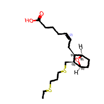 CCSCCCSC[C@H]1[C@@H](C/C=C\CCCC(=O)O)[C@H]2CC[C@@H]1O2